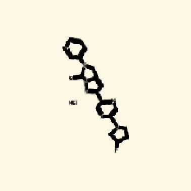 Cl.O=C1N(c2cccnc2)Cc2cc(-c3cnc(N4CCC(F)C4)cn3)nn21